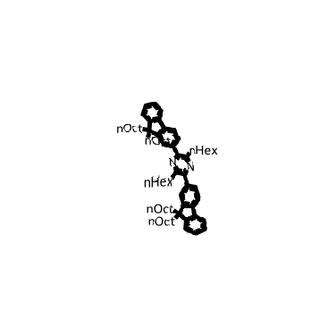 CCCCCCCCC1(CCCCCCCC)c2ccccc2-c2ccc(-c3nc(CCCCCC)c(-c4ccc5c(c4)C(CCCCCCCC)(CCCCCCCC)c4ccccc4-5)nc3CCCCCC)cc21